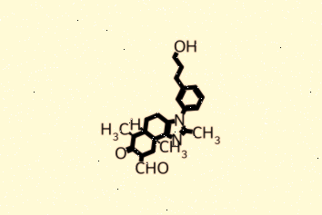 Cc1nc2c(n1-c1cccc(CCCO)c1)CC[C@H]1[C@H](C)C(=O)C(C=O)C[C@]21C